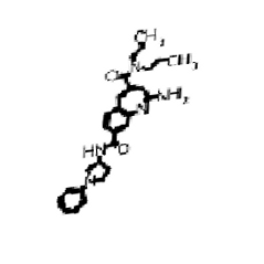 CCCN(CCC)C(=O)C1=Cc2ccc(C(=O)N[C@H]3CCN(c4ccccc4)C3)cc2N=C(N)C1